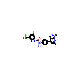 Cc1cc(-c2ccc(NC(=O)Nc3cc(F)cc(C(F)(F)F)c3)cc2)c2cnn(C)c2n1